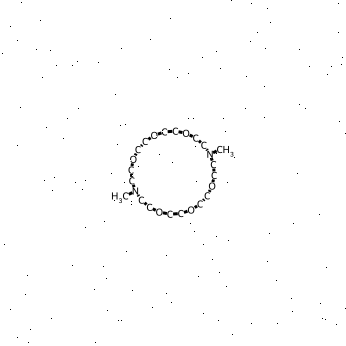 CN1CCOCCOCCOCCN(C)CCOCCOCCOCC1